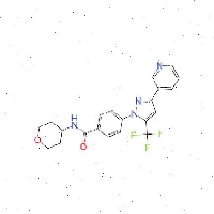 O=C(NC1CCOCC1)c1ccc(-n2nc(-c3cccnc3)cc2C(F)(F)F)cc1